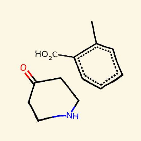 Cc1ccccc1C(=O)O.O=C1CCNCC1